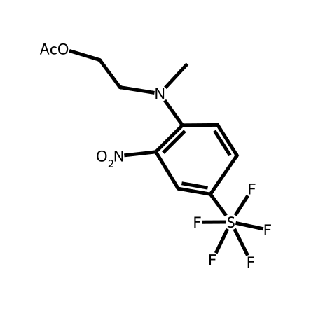 CC(=O)OCCN(C)c1ccc(S(F)(F)(F)(F)F)cc1[N+](=O)[O-]